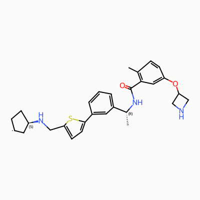 Cc1ccc(OC2CNC2)cc1C(=O)N[C@H](C)c1cccc(-c2ccc(CN[C@H]3C[CH]CC3)s2)c1